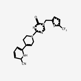 N#CC1C=CC=C(C2=CCN(c3ncn(Cc4ccc(C(F)(F)F)s4)c(=O)n3)CC2)N1